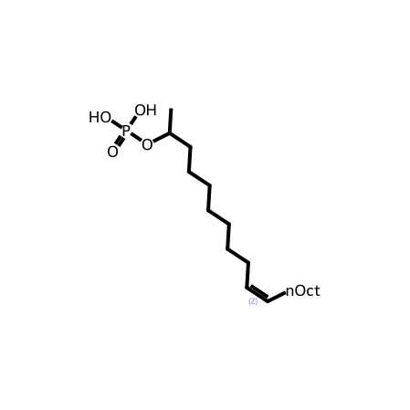 CCCCCCCC/C=C\CCCCCCCC(C)OP(=O)(O)O